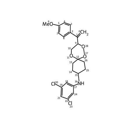 C=C(c1ccc(OC)cc1)C1COC2(CCC(Nc3cc(Cl)cc(Cl)c3)CC2)OO1